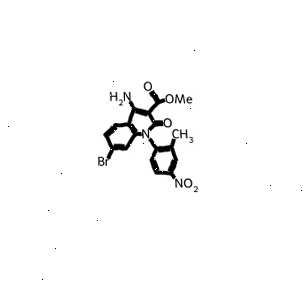 COC(=O)c1c(N)c2ccc(Br)cc2n(-c2ccc([N+](=O)[O-])cc2C)c1=O